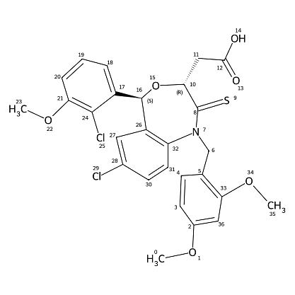 COc1ccc(CN2C(=S)[C@@H](CC(=O)O)O[C@H](c3cccc(OC)c3Cl)c3cc(Cl)ccc32)c(OC)c1